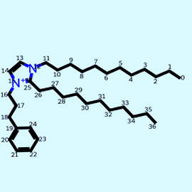 CCCCCCCCCCCCn1cc[n+](CCCc2ccccc2)c1CCCCCCCCCCC